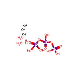 O.O.O.O=P(O)(O)OP(=O)(O)OP(=O)(O)O.[KH].[KH].[KH]